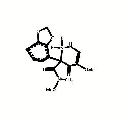 COC1=CN[N+](F)(F)C(C(=O)N(C)OC)(c2cccc3c2OCO3)C1=O